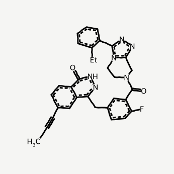 CC#Cc1ccc2c(=O)[nH]nc(Cc3ccc(F)c(C(=O)N4CCn5c(nnc5-c5ccccc5CC)C4)c3)c2c1